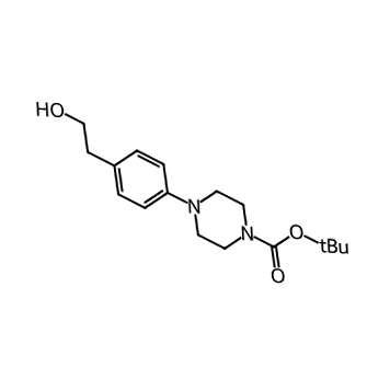 CC(C)(C)OC(=O)N1CCN(c2ccc(CCO)cc2)CC1